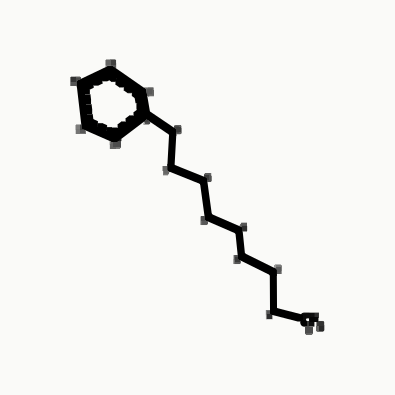 FC(F)(F)CCCCCCCCc1[c]cccc1